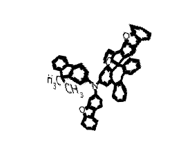 CC1(C)c2ccccc2-c2ccc(N(c3ccc4c(c3)-c3ccccc3-c3ccccc3C43c4ccccc4-c4c3ccc3c4oc4ccccc43)c3ccc4c(c3)oc3ccccc34)cc21